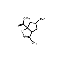 COC(=O)C12CC(OC)CC1C(C)=NO2